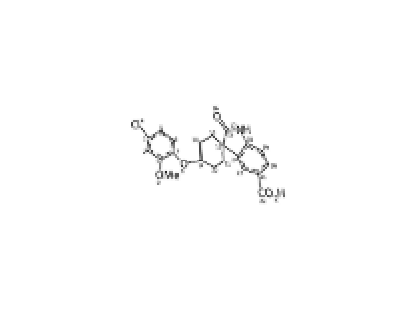 COc1cc(Cl)ccc1OC1CCC2(CC1)C(=O)Nc1ccc(C(=O)O)cc12